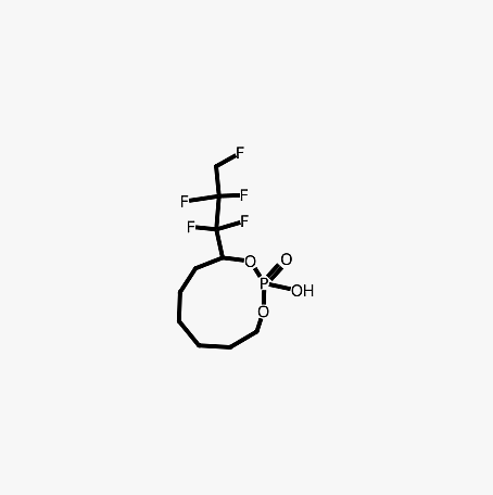 O=P1(O)OCCCCCCC(C(F)(F)C(F)(F)CF)O1